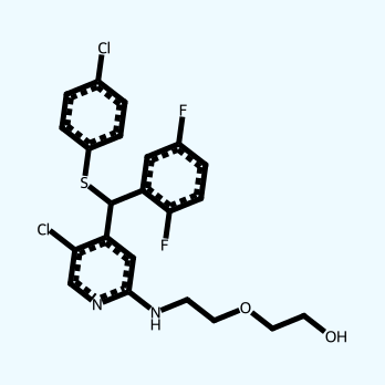 OCCOCCNc1cc(C(Sc2ccc(Cl)cc2)c2cc(F)ccc2F)c(Cl)cn1